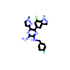 Cn1ccc(-c2nc(N)c(NCc3ccc(F)cc3)nc2-c2cc(Cl)c3[nH]ncc3c2)n1